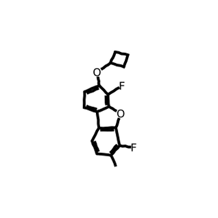 Cc1ccc2c(oc3c(F)c(OC4CCC4)ccc32)c1F